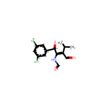 CC(C)/C(C=O)=C(/NC=O)C(=O)c1cc(Cl)cc(Cl)c1